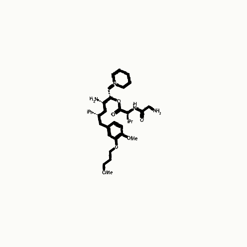 COCCCOc1cc(C[C@@H](C[C@H](N)[C@H](CN2CCCCC2)OC(=O)[C@@H](NC(=O)CN)C(C)C)C(C)C)ccc1OC